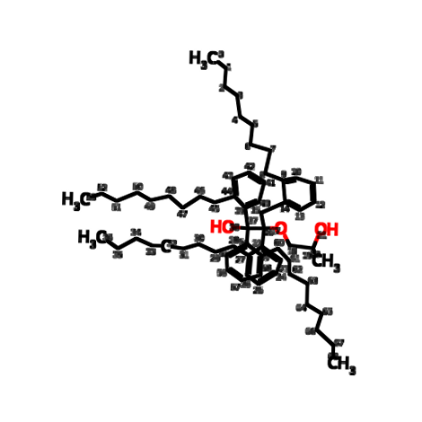 CCCCCCCCCc1ccccc1CC(OCC(C)O)(c1ccccc1CCCCCCCCC)C(O)(c1ccccc1CCCCCCCCC)c1ccccc1CCCCCCCCC